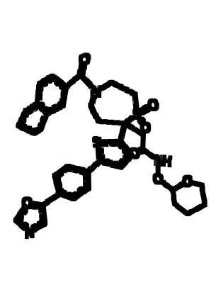 O=C(CC1(c2ccc(-c3ccc(-c4cnco4)cc3)s2)CCN(C(=O)c2ccc3ccccc3c2)CCS1(=O)=O)NOC1CCCCO1